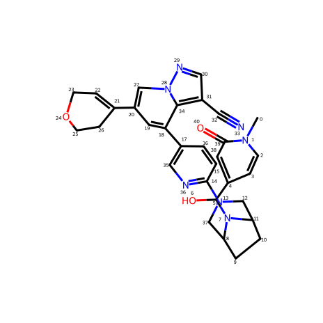 Cn1ccc(C(O)N2C3CCC2CN(c2ccc(-c4cc(C5=CCOCC5)cn5ncc(C#N)c45)cn2)C3)cc1=O